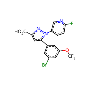 O=C(O)c1cc(-c2cc(Br)cc(OC(F)(F)F)c2)n(-c2ccc(F)nc2)n1